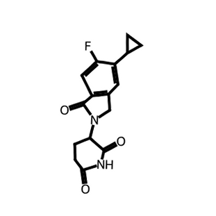 O=C1CCC(N2Cc3cc(C4CC4)c(F)cc3C2=O)C(=O)N1